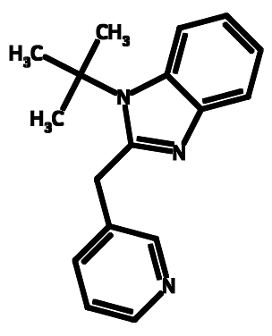 CC(C)(C)n1c(Cc2cccnc2)nc2ccccc21